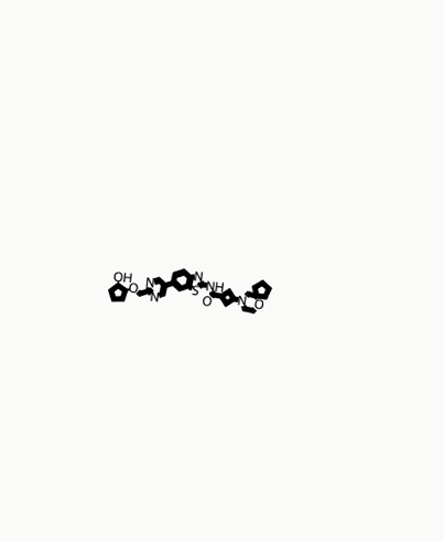 O=C(Nc1nc2ccc(-c3cnc(CO[C@H]4CCC[C@@H]4O)nc3)cc2s1)C1CC(N2CCOC3(CCCC3)C2)C1